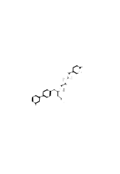 O=C(NNC(=O)c1ccc(Cl)nc1)C(=O)NC(Cc1ccc(-c2cccc(Cl)c2)cc1)C[C@@H](O)C(=O)O